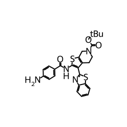 CC(C)(C)OC(=O)N1CCc2c(sc(NC(=O)c3ccc(N)cc3)c2-c2nc3ccccc3s2)C1